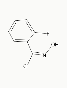 O/N=C(/Cl)c1ccccc1F